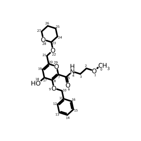 COCCNC(=O)C1=C(OCc2ccccc2)C(O)C=C(COC2CCCCO2)O1